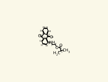 C=C(C)C(=O)OCCNc1cccc2c1C(=O)c1ccccc1C2=O